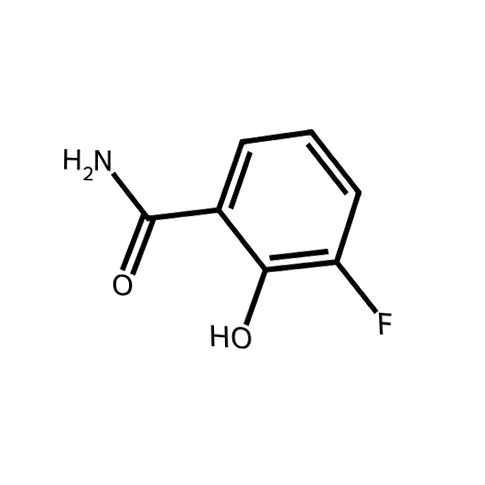 NC(=O)c1cccc(F)c1O